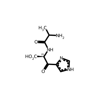 CC(N)C(=O)N[C@H](C(=O)O)C(=O)c1c[nH]cn1